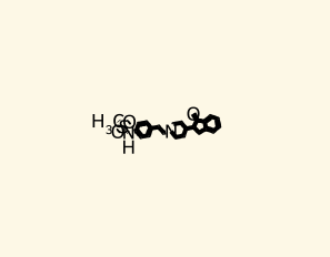 CS(=O)(=O)Nc1ccc(CCN2CCC(C3Cc4ccccc4C3=O)CC2)cc1